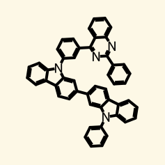 c1ccc(-c2nc(-c3cccc(-n4c5ccccc5c5ccc(-c6ccc7c8ccccc8n(-c8ccccc8)c7c6)cc54)c3)c3ccccc3n2)cc1